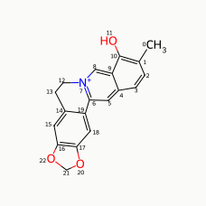 Cc1ccc2cc3[n+](cc2c1O)CCc1cc2c(cc1-3)OCO2